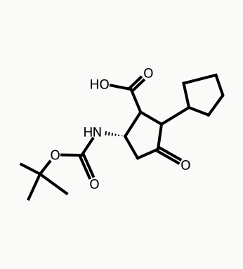 CC(C)(C)OC(=O)N[C@H]1CC(=O)C(C2CCCC2)C1C(=O)O